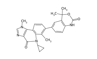 Cc1c(-c2ccc3c(c2)C(C)(C)OC(=O)N3)ccc2c3c(ncn3C)c(=O)n(C3CC3)c12